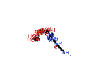 NCCCCCC(=O)NCCCNc1ncnc2c1ncn2[C@@H]1O[C@H](COP(=O)(O)OP(=O)(O)OC[C@H]2OC[C@H](O)[C@@H]2O)[C@@H](O)[C@H]1O